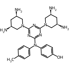 Cc1ccc(N(c2ccc(O)cc2)c2nc(N3C[C@H](N)C[C@H](N)C3)nc(N3C[C@H](N)C[C@H](N)C3)n2)cc1